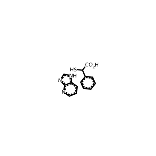 O=C(O)C(S)c1ccccc1.c1cnc2nc[nH]c2c1